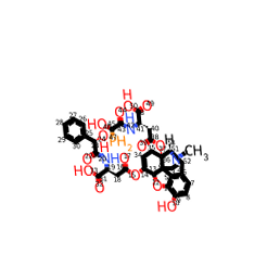 CN1CCC23c4c5ccc(O)c4OC2C(OC(=O)C[C@H](NC(=O)[C@@H](O)c2ccccc2)C(=O)O)=CC[C@@]3(OC(=O)C[C@H](NC(=O)C(O)P)C(=O)O)[C@H]1C5